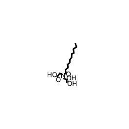 CCCCCCCCCCCC(=O)N(CC(=O)O)CC(O)CO